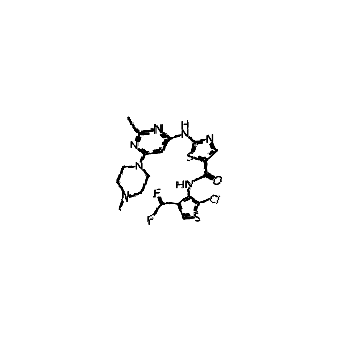 Cc1nc(Nc2ncc(C(=O)Nc3c(C(F)F)csc3Cl)s2)cc(N2CCN(C)CC2)n1